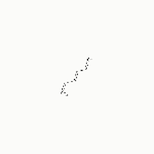 [CH]=CC=C[C]=C